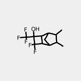 CC1C(C)C2CC1C1C2C(O)(C(F)(F)F)C1(F)F